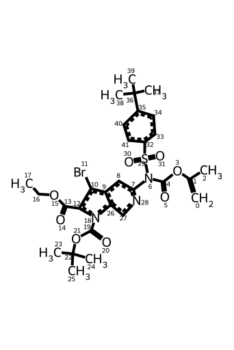 C=C(C)OC(=O)N(c1cc2c(Br)c(C(=O)OCC)n(C(=O)OC(C)(C)C)c2cn1)S(=O)(=O)c1ccc(C(C)(C)C)cc1